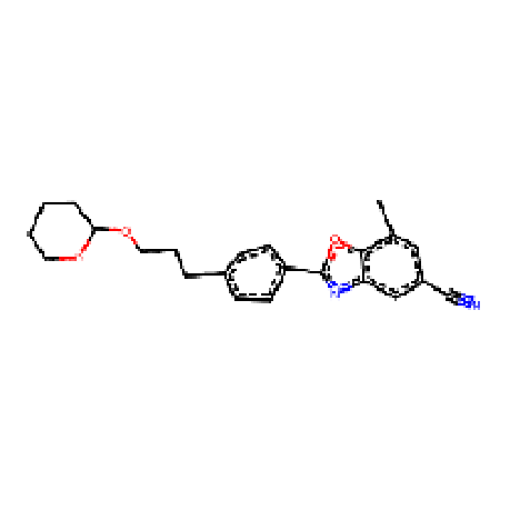 Cc1cc(C#N)cc2nc(-c3ccc(CCCOC4CCCCO4)cc3)oc12